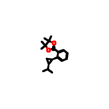 CC(C)[C@H]1C[C@H]1c1ccccc1B1OC(C)(C)C(C)(C)O1